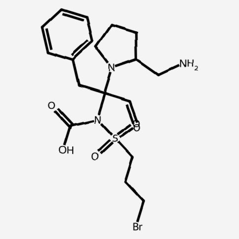 NCC1CCCN1C(C=O)(Cc1ccccc1)N(C(=O)O)S(=O)(=O)CCCBr